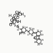 CC(C)(C)OC(=O)NC(CSCc1ccc(-c2ccc(-c3cccc4c3oc3ccccc34)cc2)cc1F)C(=O)O